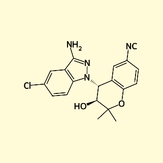 [C-]#[N+]c1ccc2c(c1)[C@@H](n1nc(N)c3cc(Cl)ccc31)[C@H](O)C(C)(C)O2